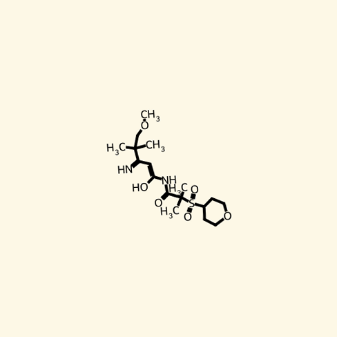 COCC(C)(C)C(=N)/C=C(\O)NC(=O)C(C)(C)S(=O)(=O)C1CCOCC1